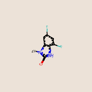 CCn1c(=O)[nH]c2c(F)cc(F)cc21